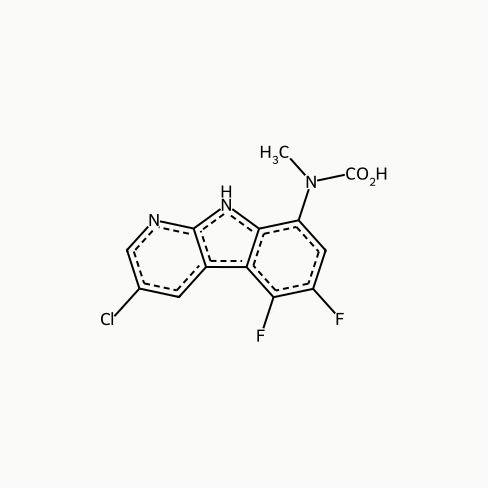 CN(C(=O)O)c1cc(F)c(F)c2c1[nH]c1ncc(Cl)cc12